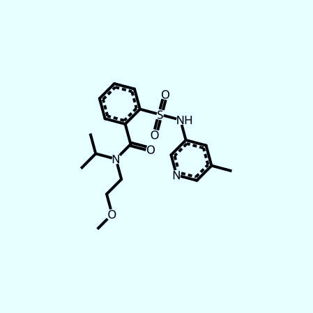 COCCN(C(=O)c1ccccc1S(=O)(=O)Nc1cncc(C)c1)C(C)C